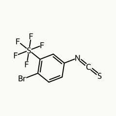 FS(F)(F)(F)(F)c1cc(N=C=S)ccc1Br